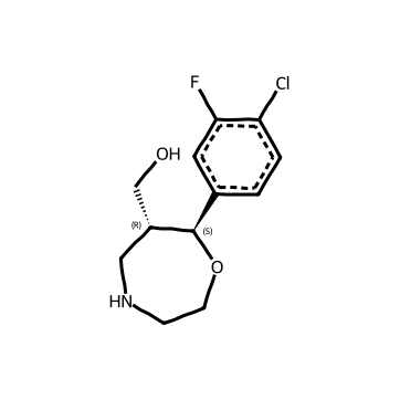 OC[C@H]1CNCCO[C@@H]1c1ccc(Cl)c(F)c1